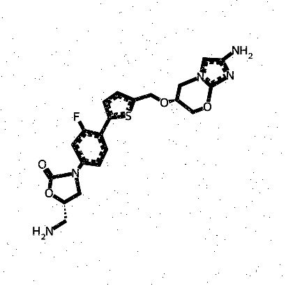 NC[C@H]1CN(c2ccc(-c3ccc(CO[C@@H]4COc5nc(N)cn5C4)s3)c(F)c2)C(=O)O1